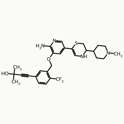 CN1CCC(C2CSC(c3cnc(N)c(OCc4cc(C#CC(C)(C)O)ccc4C(F)(F)F)c3)=CN2)CC1